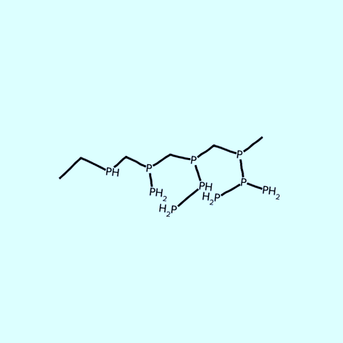 CCPCP(P)CP(CP(C)P(P)P)PP